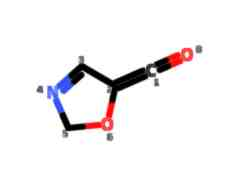 O=C=C1C=NCO1